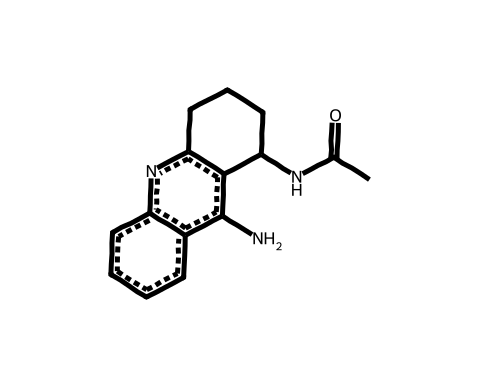 CC(=O)NC1CCCc2nc3ccccc3c(N)c21